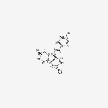 Cc1ccc(/C=C/n2c3c(c4cc(Cl)ccc42)CCN(C)C3)cn1